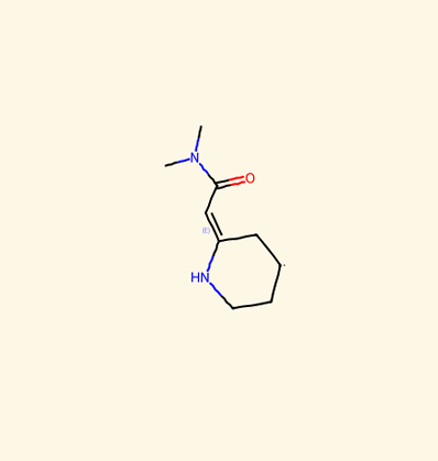 CN(C)C(=O)/C=C1\C[CH]CCN1